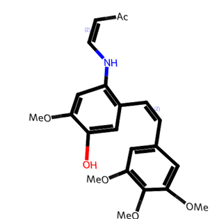 COc1cc(N/C=C\C(C)=O)c(/C=C\c2cc(OC)c(OC)c(OC)c2)cc1O